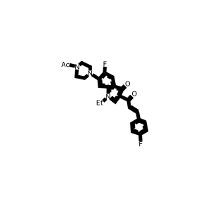 CCn1cc(C(=O)C=Cc2ccc(F)cc2)c(=O)c2cc(F)c(N3CCN(C(C)=O)CC3)cc21